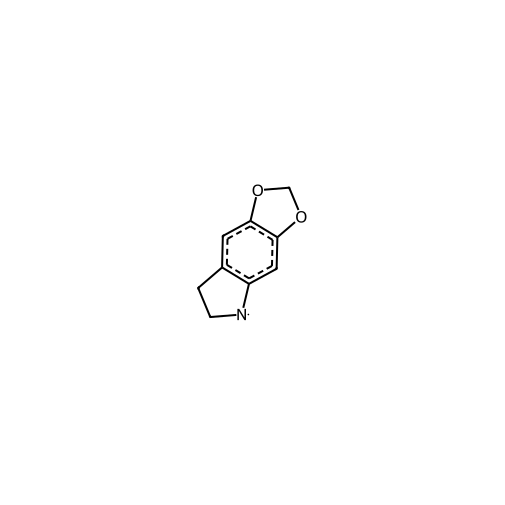 c1c2c(cc3c1OCO3)[N]CC2